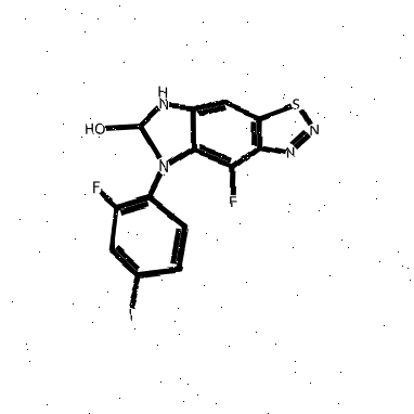 OC1Nc2cc3snnc3c(F)c2N1c1ccc(I)cc1F